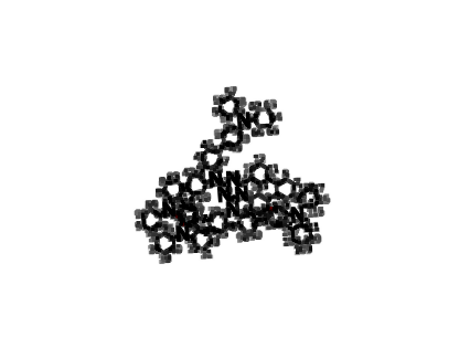 c1ccc(-c2ccccc2-c2cccc(-c3nc(-n4c5cc(-c6ccc7c(c6)c6ccccc6n7-c6ccccc6)ccc5c5ccc(-c6ccc7c(c6)c6ccccc6n7-c6ccccc6)cc54)nc(-n4c5cc(-c6ccc7c(c6)c6ccccc6n7-c6ccccc6)ccc5c5ccc(-c6ccc7c(c6)c6ccccc6n7-c6ccccc6)cc54)n3)c2)cc1